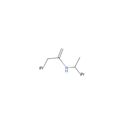 C=C(CC(C)C)NC(C)C(C)C